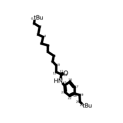 CC(C)(C)CCCCCCCCCCCC(=O)Nc1ccc(CCC(C)(C)C)cc1